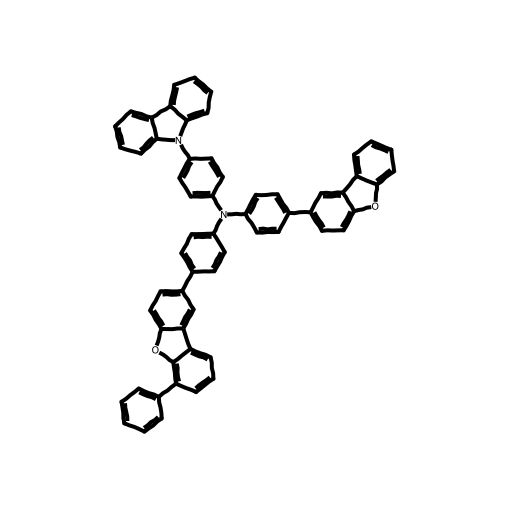 c1ccc(-c2cccc3c2oc2ccc(-c4ccc(N(c5ccc(-c6ccc7oc8ccccc8c7c6)cc5)c5ccc(-n6c7ccccc7c7ccccc76)cc5)cc4)cc23)cc1